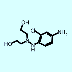 Nc1ccc(NN(CCO)CCO)c(Cl)c1